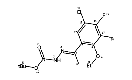 CCOc1c(/C(C)=N/NC(=O)OC(C)(C)C)cc(Cl)c(F)c1C